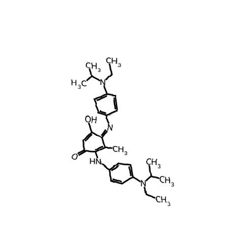 CCN(c1ccc(N=C2C(O)=CC(=O)C(Nc3ccc(N(CC)C(C)C)cc3)=C2C)cc1)C(C)C